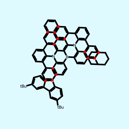 CC(C)(C)c1ccc2c(c1)c1cc(C(C)(C)C)ccc1n2-c1ccc2c(c1)N(c1c(-c3ccccc3)cccc1-c1ccccc1)c1cc(-c3ccccc3)cc3c1B2c1ccc(N2C4CCCC2CCC4)cc1N3c1c(-c2ccccc2)cccc1-c1ccccc1